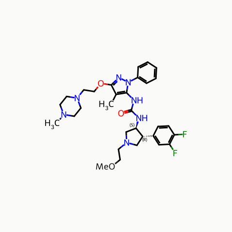 COCCN1C[C@@H](NC(=O)Nc2c(C)c(OCCN3CCN(C)CC3)nn2-c2ccccc2)[C@H](c2ccc(F)c(F)c2)C1